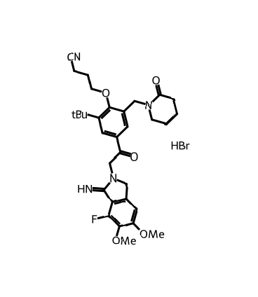 Br.COc1cc2c(c(F)c1OC)C(=N)N(CC(=O)c1cc(CN3CCCCC3=O)c(OCCCC#N)c(C(C)(C)C)c1)C2